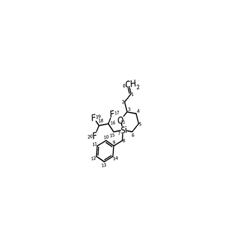 C=CCC1CCC[Si](Cc2ccccc2)(CC(F)C(F)F)O1